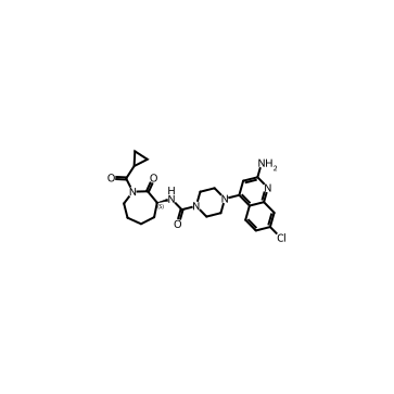 Nc1cc(N2CCN(C(=O)N[C@H]3CCCCN(C(=O)C4CC4)C3=O)CC2)c2ccc(Cl)cc2n1